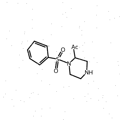 CC(=O)C1CNCCN1S(=O)(=O)c1[c]cccc1